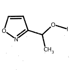 CC(OI)c1ccon1